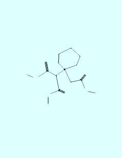 COC(=O)CC1(C(C(=O)OC)C(=O)OC)CCCCC1